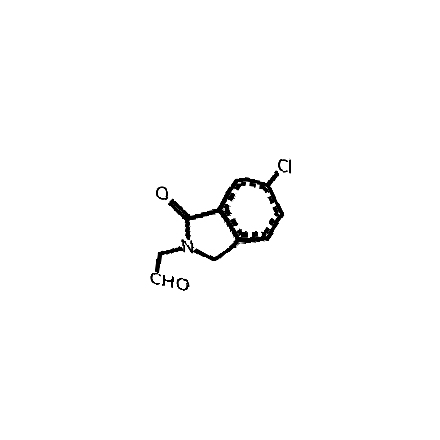 O=CCN1Cc2ccc(Cl)cc2C1=O